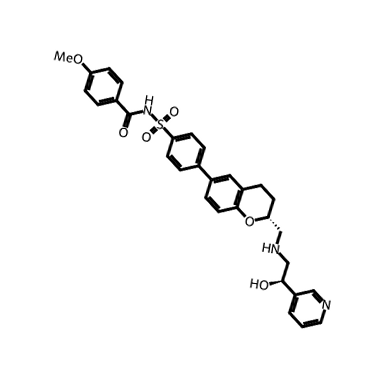 COc1ccc(C(=O)NS(=O)(=O)c2ccc(-c3ccc4c(c3)CC[C@H](CNC[C@H](O)c3cccnc3)O4)cc2)cc1